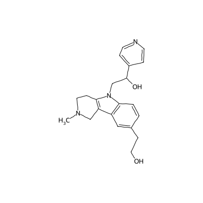 CN1CCc2c(c3cc(CCO)ccc3n2CC(O)c2ccncc2)C1